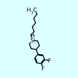 CCCCCCC[SiH]1CCC(c2ccc(F)c(F)c2)CC1